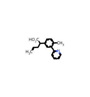 C=CCC(C(=O)O)c1ccc(C)c(-c2ccccn2)c1